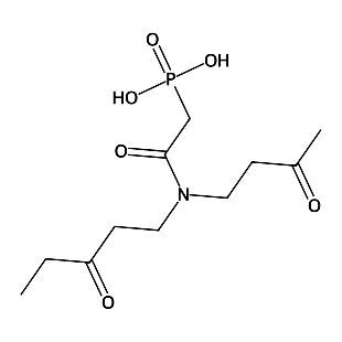 CCC(=O)CCN(CCC(C)=O)C(=O)CP(=O)(O)O